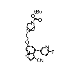 CC(C)(C)OC(=O)N1CC2CC1CN2CCOc1cc(-c2ccc(F)nc2)c2c(C#N)cnn2c1